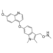 CNOCc1c(C)n(C)c2cc(Oc3ccnc4cc(OC)ccc34)ccc12